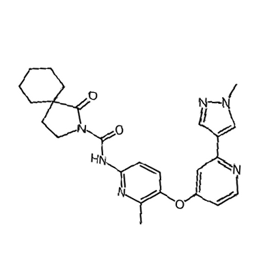 Cc1nc(NC(=O)N2CCC3(CCCCC3)C2=O)ccc1Oc1ccnc(-c2cnn(C)c2)c1